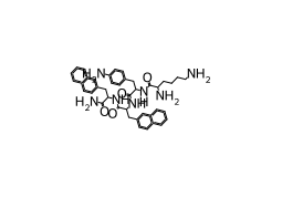 NCCCCC(N)C(=O)NC(Cc1ccc(N)cc1)C(=O)NC(Cc1ccc2ccccc2c1)C(=O)NC(Cc1ccc2ccccc2c1)C(N)=O